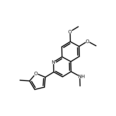 CNc1cc(-c2ccc(C)o2)nc2cc(OC)c(OC)cc12